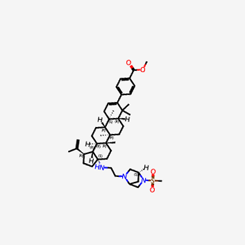 C=C(C)[C@@H]1CC[C@]2(NCCN3C[C@@H]4CC3CN4S(C)(=O)=O)CC[C@]3(C)[C@H](CC[C@@H]4[C@@]5(C)CC=C(c6ccc(C(=O)OC)cc6)C(C)(C)[C@@H]5CC[C@]43C)[C@@H]12